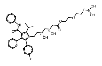 CC(C)c1c(C(=O)Nc2ccccc2)c(-c2ccccc2)c(-c2ccc(F)cc2)n1CC[C@@H](O)C[C@@H](O)CC(=O)OCCOCCON(O)O